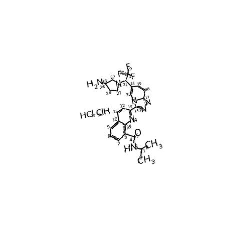 CC(C)NC(=O)c1cccc2ccc(-c3nnc4ccc([C@@H](N5CCC(N)C5)C(F)(F)F)cn34)nc12.Cl.Cl